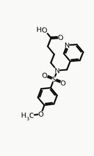 COc1ccc(S(=O)(=O)N(CCCC(=O)O)Cc2cccnc2)cc1